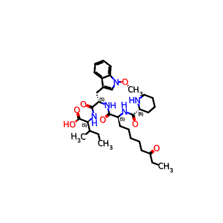 CCC(=O)CCCCC[C@H](NC(=O)[C@H]1CCCCN1)C(=O)N[C@@H](Cc1cn(OC)c2ccccc12)C(=O)N[C@H](C(=O)O)C(C)CC